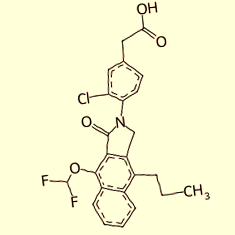 CCCc1c2c(c(OC(F)F)c3ccccc13)C(=O)N(c1ccc(CC(=O)O)cc1Cl)C2